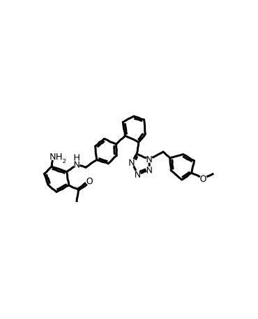 COc1ccc(Cn2nnnc2-c2ccccc2-c2ccc(CNc3c(N)cccc3C(C)=O)cc2)cc1